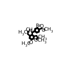 COC(=O)c1ccc(C2=NC(C)(C)Cc3cc(OC)c4c(c32)CC(C)(C)O4)cc1Br